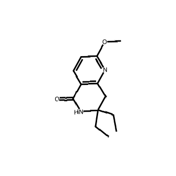 CCC1(CC)Cc2nc(OC)ccc2C(=O)N1